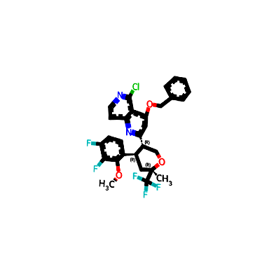 COc1c([C@@H]2C[C@](C)(C(F)(F)F)OC[C@H]2c2cc(OCc3ccccc3)c3c(Cl)nccc3n2)ccc(F)c1F